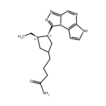 CC[C@@H]1CC(CCCC(N)=O)C[C@@H]1c1nnc2cnc3[nH]ccc3n12